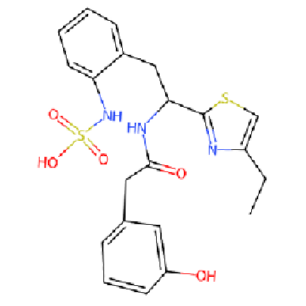 CCc1csc(C(Cc2ccccc2NS(=O)(=O)O)NC(=O)Cc2cccc(O)c2)n1